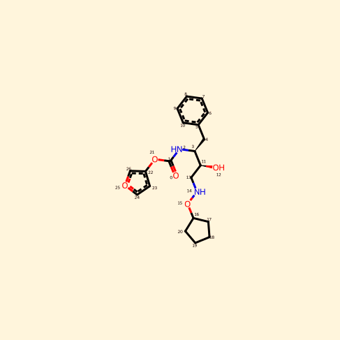 O=C(N[C@@H](Cc1ccccc1)[C@@H](O)CNOC1CCCC1)Oc1ccoc1